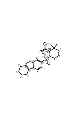 CC1(C)SCCN(S(=O)(=O)c2ccc3c4c(oc3c2)CCCC4)[C@H]1C(=O)O